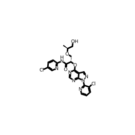 C[C@@H](CO)OC[C@H](Oc1ncnc2c1cnn2-c1ncccc1Cl)C(=O)Nc1ccc(Cl)cn1